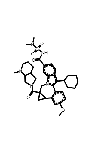 COc1ccc2c(c1)C1CC1(C(=O)N1CC3CCCN(C)C3C1)Cn1c-2c(C2CCCCC2)c2ccc(C(=O)NS(=O)(=O)N(C)C)cc21